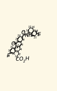 O=C(O)CCCCc1cc2cc(C(=O)NC3CCCc4cc(F)ccc43)ccc2c(=O)n1-c1ccc(F)cc1